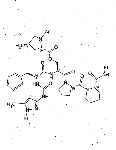 CCNC(=O)[C@@H]1CCCCN1C(=O)[C@@H]1CCCN1C(=O)[C@H](COC(=O)[C@@H]1C[C@@H](C)CN1C(C)=O)NC(=O)[C@H](Cc1ccccc1)NC(=O)Nc1cc(C)n(CC)n1